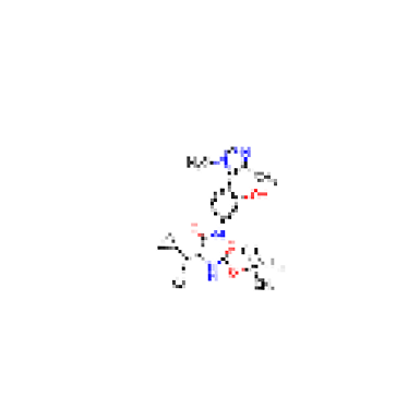 Cc1ncn(C)c1-c1ccc(NC(=O)C(NC(=O)OC(C)(C)C)C(C2CC2)C2CC2)cc1O